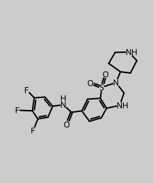 O=C(Nc1cc(F)c(F)c(F)c1)c1ccc2c(c1)S(=O)(=O)N(C1CCNCC1)CN2